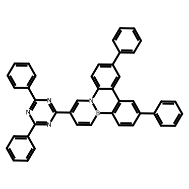 C1=CC(c2nc(-c3ccccc3)nc(-c3ccccc3)n2)=CN2B1c1ccc(-c3ccccc3)cc1-c1cc(-c3ccccc3)ccc12